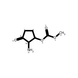 COC(=O)OC1CCC(=O)C1N